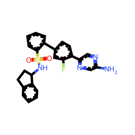 Nc1cnc(-c2ccc(-c3ccccc3S(=O)(=O)NC3CCc4ccccc43)cc2F)cn1